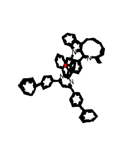 C=C1/C=C\C=C/Cc2c(n(-c3ccc(-c4nc(-c5ccc(-c6ccccc6)cc5)cc(-c5ccc(-c6ccccc6)cc5)n4)cc3)c3ccccc23)/C(c2ccc3ccc4ccccc4c3c2)=N\1